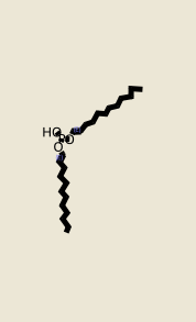 CCCCCCCCCC/C=C/OP(O)O/C=C/CCCCCCCCCC